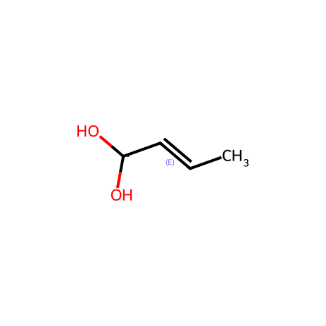 C/C=C/[C](O)O